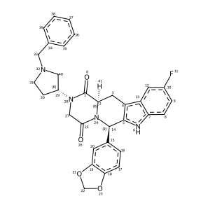 O=C1[C@H]2Cc3c([nH]c4ccc(F)cc34)[C@@H](c3ccc4c(c3)OCO4)N2C(=O)CN1[C@@H]1CCN(Cc2ccccc2)C1